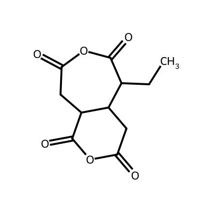 CCC1C(=O)OC(=O)CC2C(=O)OC(=O)CC12